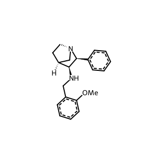 COc1ccccc1CN[C@H]1[C@H]2CC[N@@](C2)[C@H]1c1ccccc1